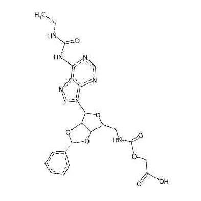 CCNC(=O)Nc1ncnc2c1ncn2C1OC(CNC(=O)OCC(=O)O)C2O[C@H](c3ccccc3)OC21